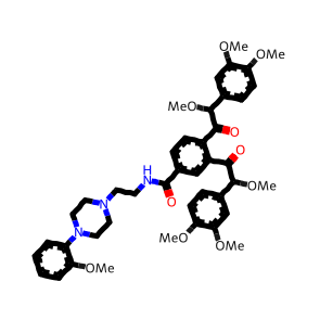 COc1ccc(C(OC)C(=O)c2ccc(C(=O)NCCN3CCN(c4ccccc4OC)CC3)cc2C(=O)C(OC)c2ccc(OC)c(OC)c2)cc1OC